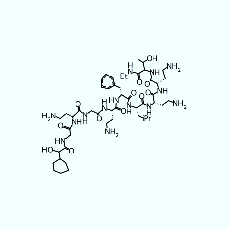 CCNC(=O)C(NC(=O)[C@H](CCN)NC(=O)[C@H](CCN)NC(=O)[C@H](CC(C)C)NC(=O)[C@@H](Cc1ccccc1)NC(=O)[C@H](CCN)NC(=O)CNC(=O)[C@H](CCN)NC(=O)CNC(=O)C(O)C1CCCCC1)C(C)O